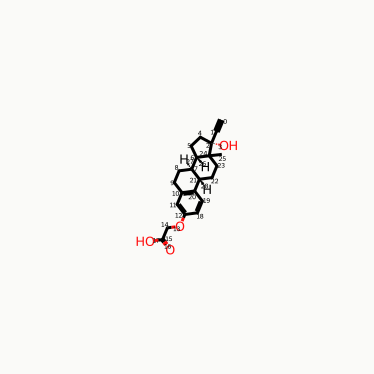 C#C[C@]1(O)CC[C@H]2[C@@H]3CCc4cc(OCC(=O)O)ccc4[C@H]3CCC21C